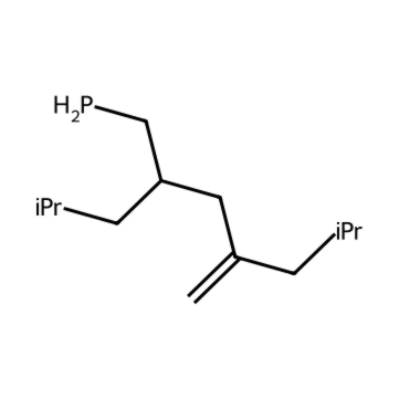 C=C(CC(C)C)CC(CP)CC(C)C